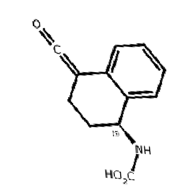 O=C=C1CC[C@H](NC(=O)O)c2ccccc21